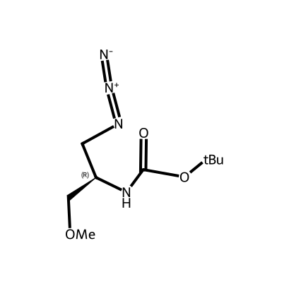 COC[C@@H](CN=[N+]=[N-])NC(=O)OC(C)(C)C